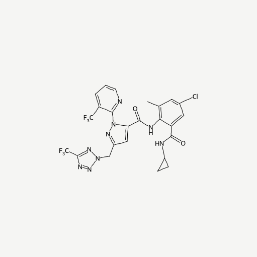 Cc1cc(Cl)cc(C(=O)NC2CC2)c1NC(=O)c1cc(Cn2nnc(C(F)(F)F)n2)nn1-c1ncccc1C(F)(F)F